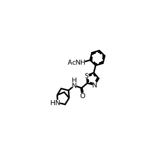 CC(=O)Nc1ccccc1-c1cnc(C(=O)NC2CC3CC2CN3)s1